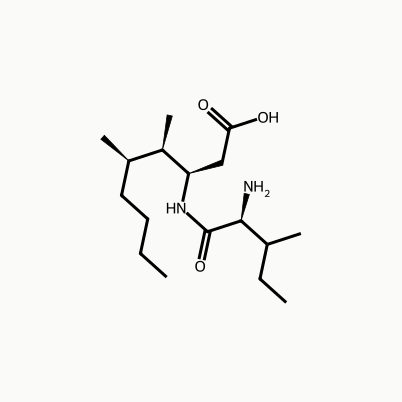 CCCC[C@@H](C)[C@@H](C)[C@@H](CC(=O)O)NC(=O)[C@@H](N)C(C)CC